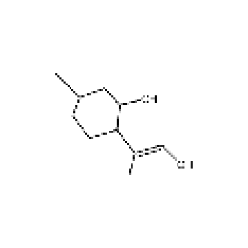 CC(=CO)C1CCC(C)CC1O